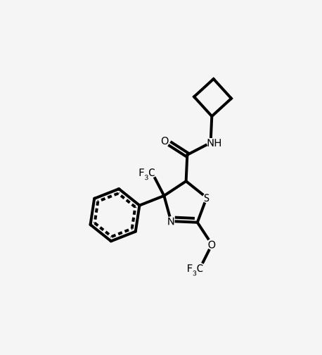 O=C(NC1CCC1)C1SC(OC(F)(F)F)=NC1(c1ccccc1)C(F)(F)F